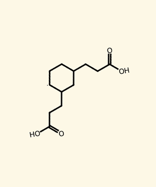 O=C(O)CCC1[CH]CCC(CCC(=O)O)C1